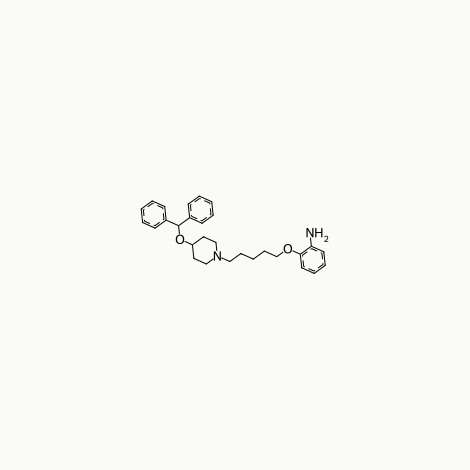 Nc1ccccc1OCCCCCN1CCC(OC(c2ccccc2)c2ccccc2)CC1